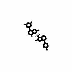 CC1=Cc2c(-c3ccc(C)cc3)cccc2C1[Si](C)(C)C1C(C)=Cc2c(-c3cc(C)cc(C)c3)ccc(C)c21